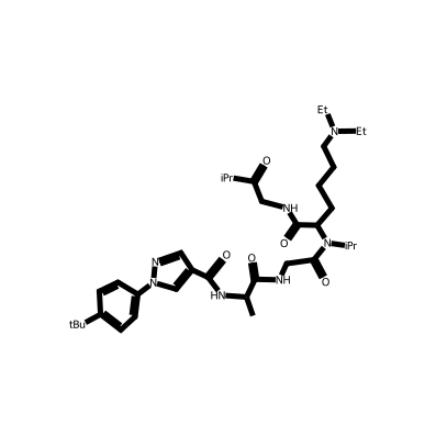 CCN(CC)CCCCC(C(=O)NCC(=O)C(C)C)N(C(=O)CNC(=O)C(C)NC(=O)c1cnn(-c2ccc(C(C)(C)C)cc2)c1)C(C)C